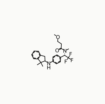 COCCC(=O)N(C)[C@@H](c1ccc(NC2Cc3ccccc3C2(C)C)cc1)C(F)(F)F